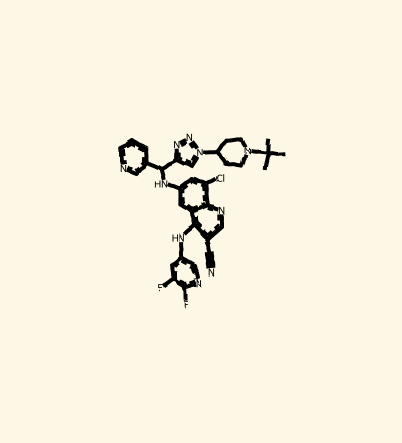 CC(C)(C)N1CCC(n2cc(C(Nc3cc(Cl)c4ncc(C#N)c(Nc5cnc(F)c(F)c5)c4c3)c3cccnc3)nn2)CC1